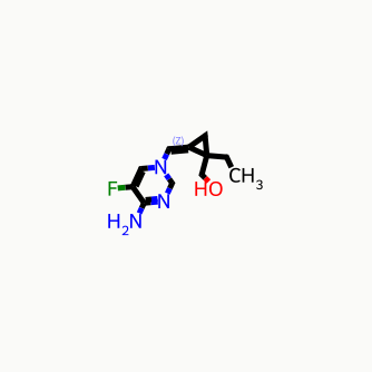 CCC1(CO)C/C1=C/N1C=C(F)C(N)=NC1